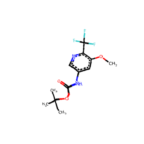 COc1cc(NC(=O)OC(C)(C)C)cnc1C(F)(F)F